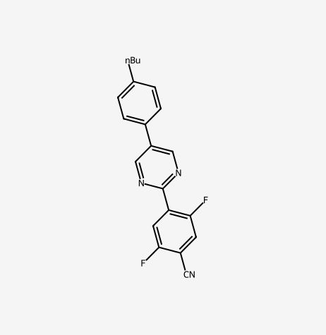 CCCCc1ccc(-c2cnc(-c3cc(F)c(C#N)cc3F)nc2)cc1